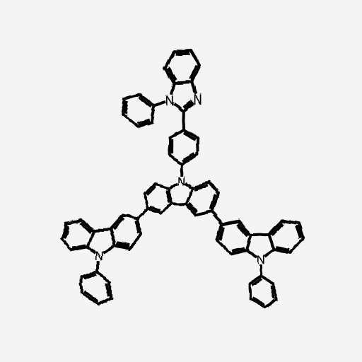 c1ccc(-n2c(-c3ccc(-n4c5ccc(-c6ccc7c(c6)c6ccccc6n7-c6ccccc6)cc5c5cc(-c6ccc7c(c6)c6ccccc6n7-c6ccccc6)ccc54)cc3)nc3ccccc32)cc1